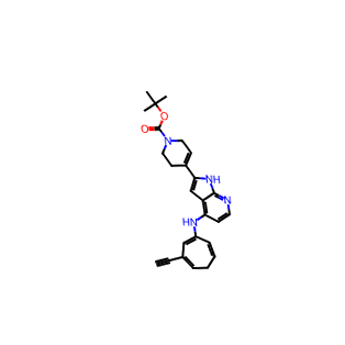 C#CC1=CCC=CC(Nc2ccnc3[nH]c(C4=CCN(C(=O)OC(C)(C)C)CC4)cc23)=C1